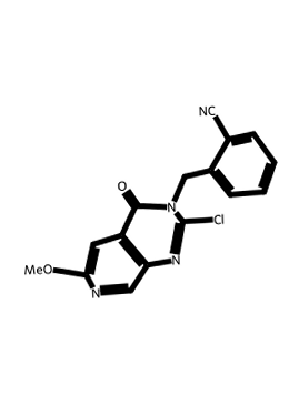 COc1cc2c(=O)n(Cc3ccccc3C#N)c(Cl)nc2cn1